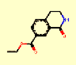 CCOC(=O)c1ccc2c(c1)C(=O)NCC2